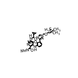 CNC(=O)c1nnc(NC(=O)C2CC2)cc1Nc1cccc(-c2ncn(COCC[Si](C)(C)C)n2)c1OC